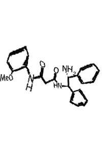 COc1ccccc1NC(=O)CC(=O)N[C@H](c1ccccc1)[C@H](N)c1ccccc1